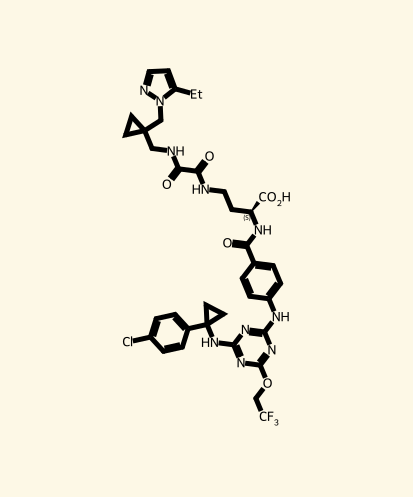 CCc1ccnn1CC1(CNC(=O)C(=O)NCC[C@H](NC(=O)c2ccc(Nc3nc(NC4(c5ccc(Cl)cc5)CC4)nc(OCC(F)(F)F)n3)cc2)C(=O)O)CC1